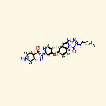 CCCN(N)C(=O)n1ccc2cc(Oc3ccnc(NC(=O)C4CCNCC4)c3)ccc21